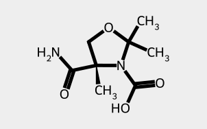 CC1(C)OC[C@@](C)(C(N)=O)N1C(=O)O